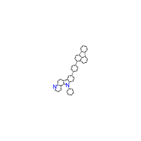 c1ccc(-n2c3ccc(-c4ccc(-c5ccc6c7c(cccc57)-c5ccccc5-6)cc4)cc3c3ccc4ncccc4c32)cc1